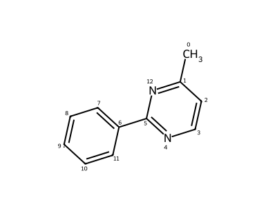 Cc1ccnc(-c2cc[c]cc2)n1